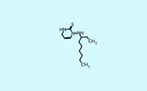 CCCCCCC(CC)NN1C=CCNC1=S